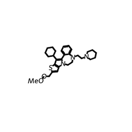 COOCc1cc2c(s1)c(C1CCCCC1)c1n2CCN(CCN2CCCCC2)c2ccccc2-1